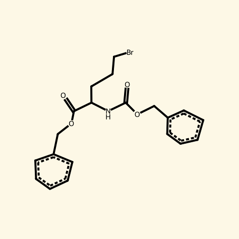 O=C(NC(CCCBr)C(=O)OCc1ccccc1)OCc1ccccc1